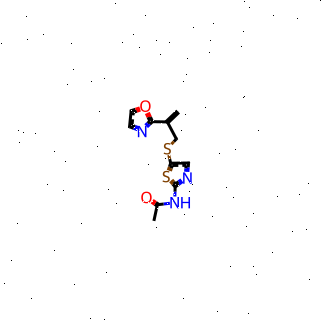 C=C(CSc1cnc(NC(C)=O)s1)c1ncco1